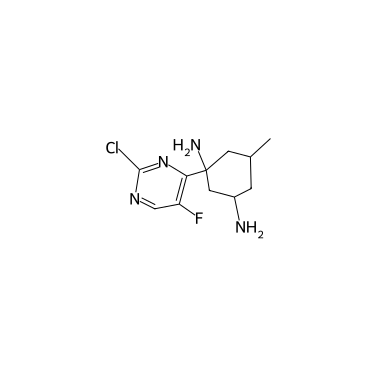 CC1CC(N)CC(N)(c2nc(Cl)ncc2F)C1